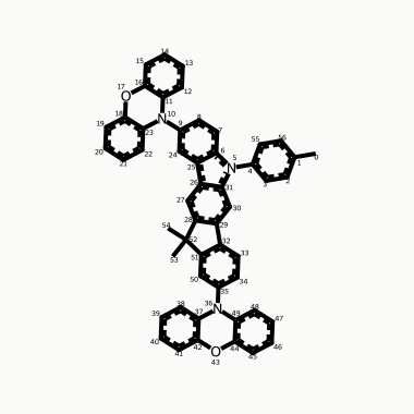 Cc1ccc(-n2c3ccc(N4c5ccccc5Oc5ccccc54)cc3c3cc4c(cc32)-c2ccc(N3c5ccccc5Oc5ccccc53)cc2C4(C)C)cc1